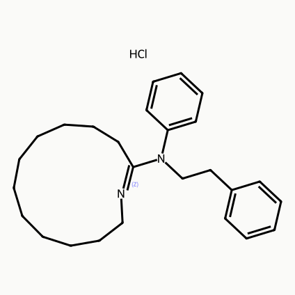 Cl.c1ccc(CCN(/C2=N\CCCCCCCCCCC2)c2ccccc2)cc1